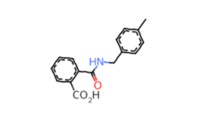 Cc1ccc(CNC(=O)c2ccccc2C(=O)O)cc1